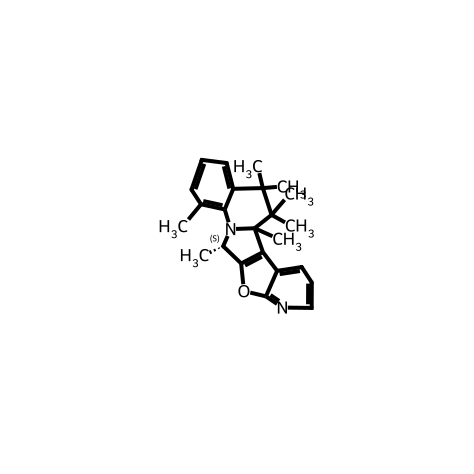 Cc1cccc2c1N1[C@@H](C)c3oc4ncccc4c3C1(C)C(C)(C)C2(C)C